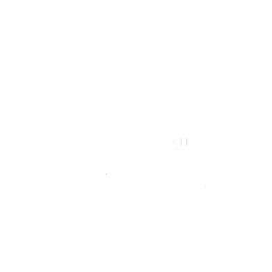 CCCCCCCCCC(C(C)=O)(C(=O)O)c1ccccc1